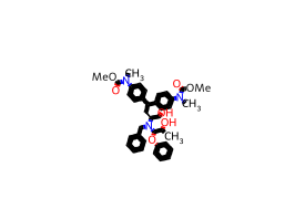 COC(=O)N(C)c1ccc(C(C[C@@H](CO)N(Cc2ccccc2)C(Oc2ccccc2)C(C)O)c2ccc(N(C)C(=O)OC)cc2)cc1